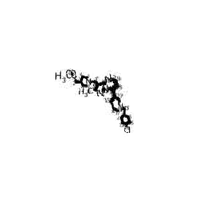 COCC1CCN(Cc2c(C)nn3c(C4CCCN(Cc5ccc(Cl)cc5)C4)ccnc23)CC1